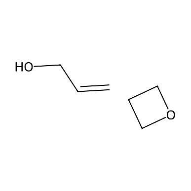 C1COC1.C=CCO